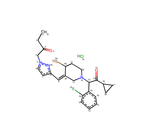 CCC(=O)Cn1ccc(C=C2CN(C(C(=O)C3CC3)c3ccccc3F)CCC2S)n1.Cl